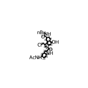 CCCCNC(=O)c1ccc2c(O)cc3c(c2c1)C(CCl)CN3C(=O)c1cc2cc(NC(C)=O)ccc2[nH]1